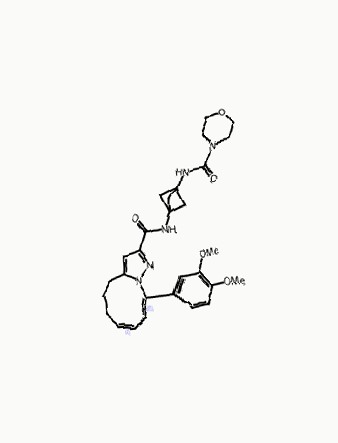 COc1ccc(/C2=C/C=C\CCCc3cc(C(=O)NC45CC(NC(=O)N6CCOCC6)(C4)C5)nn32)cc1OC